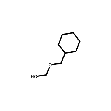 OCOCC1CCCCC1